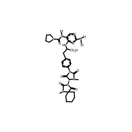 CCN(CC)c1ncc(N(CC)C(=O)N2CCCC2)c(NC(Cc2ccc(N3C(=O)[C@H](N4C(=O)N(C)C5(CCCCC5)C4=O)N(C)C3=O)cc2)C(=O)O)n1